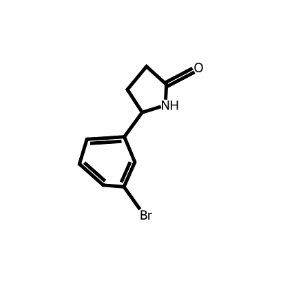 O=C1CCC(c2cccc(Br)c2)N1